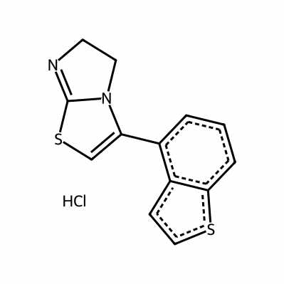 C1=C(c2cccc3sccc23)N2CCN=C2S1.Cl